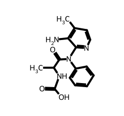 Cc1ccnc(N(C(=O)C(C)NC(=O)O)c2ccccc2)c1N